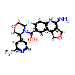 Nc1nc2cc(F)c(C(O)N3CCOCC3c3ccnc(C(F)(F)F)c3)cc2c2c1COC2